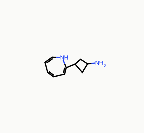 NC1CC(C2=CC=CC=CN2)C1